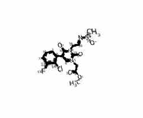 COC(=O)Cn1cc(-c2cccc(F)c2Cl)c(=O)n(CC=N[S+](C)[O-])c1=O